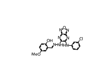 COc1ccc(O)c(C=NNc2nc3nonc3nc2Nc2cccc(Cl)c2)c1